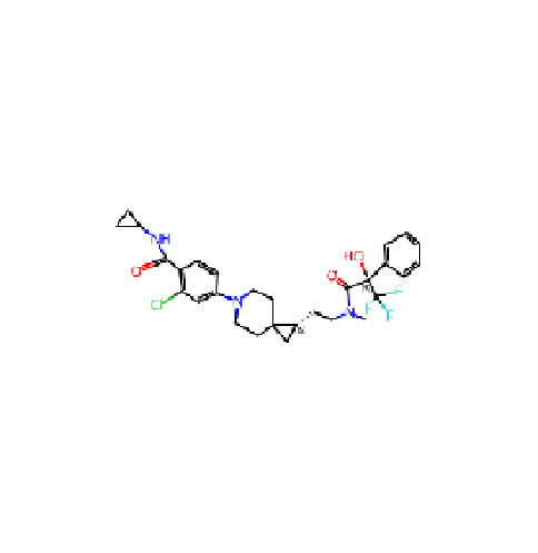 CN(CC[C@@H]1CC12CCN(c1ccc(C(=O)NC3CC3)c(Cl)c1)CC2)C(=O)[C@](O)(c1ccccc1)C(F)(F)F